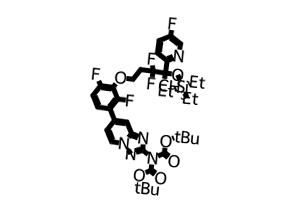 CC[Si](CC)(CC)OC(C)(c1ccc(F)cn1)C(F)(F)CCOc1c(F)ccc(-c2ccn3nc(N(C(=O)OC(C)(C)C)C(=O)OC(C)(C)C)nc3c2)c1F